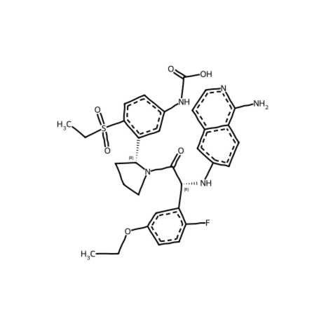 CCOc1ccc(F)c([C@@H](Nc2ccc3c(N)nccc3c2)C(=O)N2CCC[C@@H]2c2cc(NC(=O)O)ccc2S(=O)(=O)CC)c1